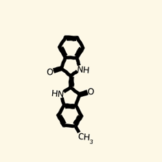 Cc1ccc2c(c1)C(=O)/C(=C1\Nc3ccccc3C1=O)N2